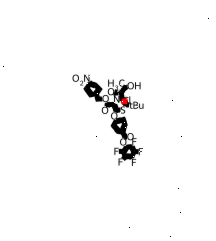 C[C@@H](O)[C@H]1C(=O)N(C(C(=O)OCc2ccc([N+](=O)[O-])cc2)=C(Oc2ccc(C(=O)Oc3c(F)c(F)c(F)c(F)c3F)cc2)SC(=O)C(C)(C)C)[C@H]1Cl